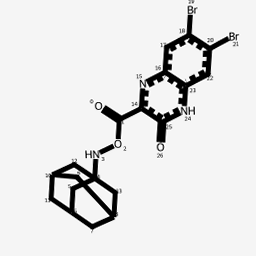 O=C(ONC12CC3CC(CC(C3)C1)C2)c1nc2cc(Br)c(Br)cc2[nH]c1=O